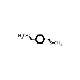 COC[C@H]1CC[C@H](CSC)CC1